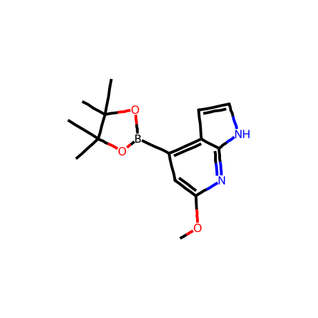 COc1cc(B2OC(C)(C)C(C)(C)O2)c2cc[nH]c2n1